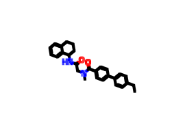 CCc1ccc(-c2ccc(C(=O)N(C)CC(=O)NC3CCCc4ccccc43)cc2)cc1